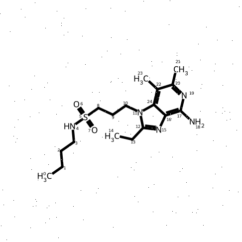 CCCCNS(=O)(=O)CCCn1c(CC)nc2c(N)nc(C)c(C)c21